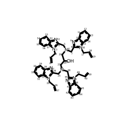 C=CCn1c(CN(Cc2nc3ccccc3n2CC=C)CC(O)CN(Cc2nc3ccccc3n2CC=C)Cc2nc3ccccc3n2CC=C)nc2ccccc21